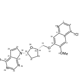 COc1cc2c(Cl)ccnc2cc1OC[C@@H]1CC[C@H](n2ccc3c(N)ncnc32)O1